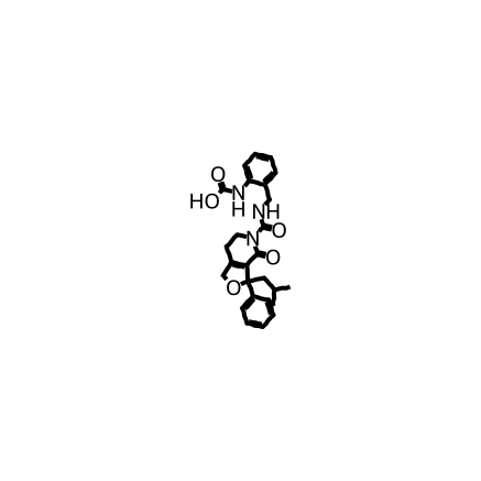 CC(C)CC1(c2ccccc2)OCC2=C1C(=O)N(C(=O)NCc1ccccc1NC(=O)O)CC2